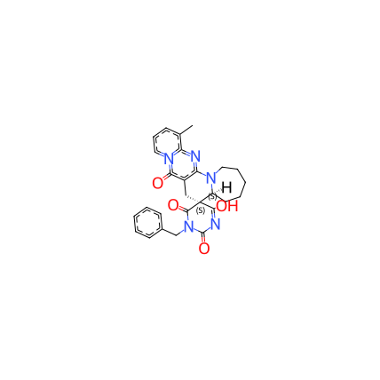 Cc1cccn2c(=O)c3c(nc12)N1CCCCC[C@H]1[C@]1(C3)C(=O)N(Cc2ccccc2)C(=O)N=C1O